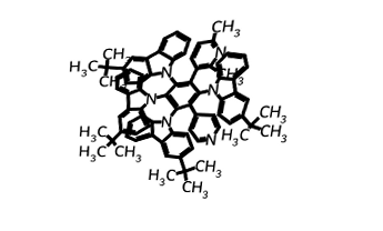 Cc1ccc(-c2c(-n3c4ccccc4c4cc(C(C)(C)C)ccc43)c(-c3ccncc3)c(-n3c4ccccc4c4cc(C(C)(C)C)ccc43)c(-n3c4ccccc4c4cc(C(C)(C)C)ccc43)c2-n2c3ccccc3c3cc(C(C)(C)C)ccc32)c(C)n1